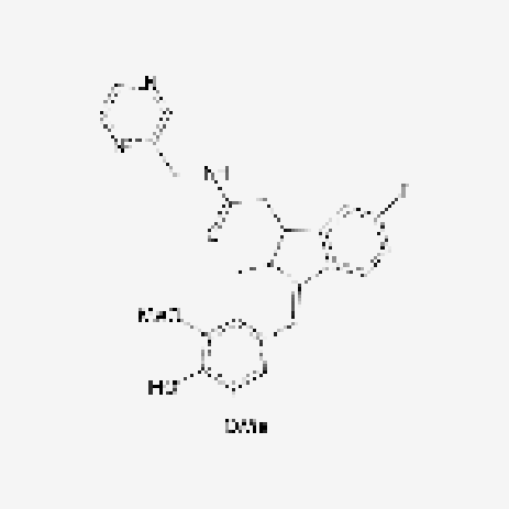 COc1cc(C=C2c3ccc(F)cc3C(CC(=O)NCc3cnccn3)C2C)cc(OC)c1O